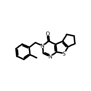 Cc1ccccc1Cn1cnc2sc3c(c2c1=O)CCC3